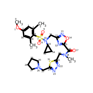 COc1cc(C)c(S(=O)(=O)N(Cc2noc(C(=O)N(C)Cc3nnc(CN4CCCC4)s3)n2)C2CC2)c(C)c1